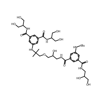 CC(C)(C)Nc1cc(C(=O)NCC(O)CO)cc(C(=O)NCC(O)COCC(C)(C)Nc2cc(C(=O)NC(CO)CO)cc(C(=O)NC(CO)CO)c2)c1